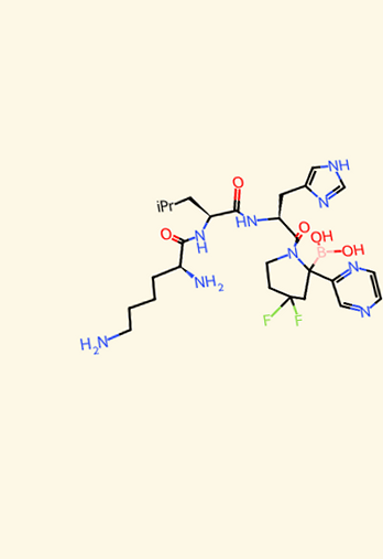 CC(C)C[C@H](NC(=O)[C@@H](N)CCCCN)C(=O)N[C@@H](Cc1c[nH]cn1)C(=O)N1CCC(F)(F)CC1(B(O)O)c1cnccn1